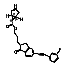 O=C1c2ccc(C#Cc3cccc(F)c3)cc2CC1CCCOC(=O)[C@@H]1[C@@H]2CNC[C@@H]21